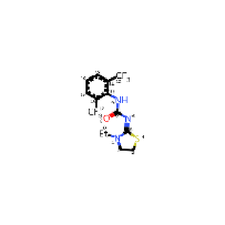 CCN1CCSC1=NC(=O)Nc1c(C(F)(F)F)cccc1C(F)(F)F